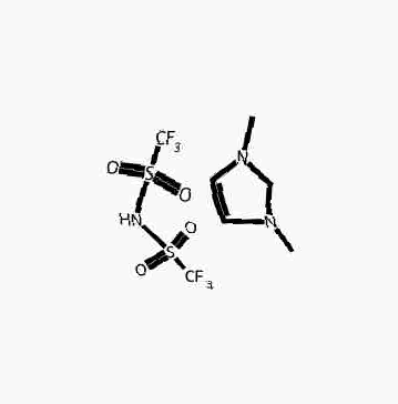 CN1C=CN(C)C1.O=S(=O)(NS(=O)(=O)C(F)(F)F)C(F)(F)F